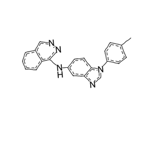 Cc1ccc(-n2cnc3cc(Nc4nncc5ccccc45)ccc32)cc1